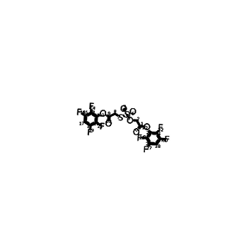 O=C(COS(=O)(=O)SCC(=O)Oc1c(F)c(F)cc(F)c1F)Oc1c(F)c(F)cc(F)c1F